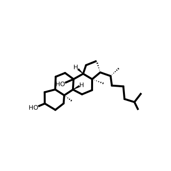 CC(C)CCC[C@@H](C)[C@H]1CC[C@H]2C3(O)CCC4CC(O)CC[C@]4(C)[C@H]3CC[C@]12C